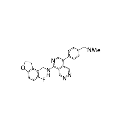 CNCc1ccc(-c2cnc(NCc3c(F)ccc4c3CCO4)c3cnncc23)cc1